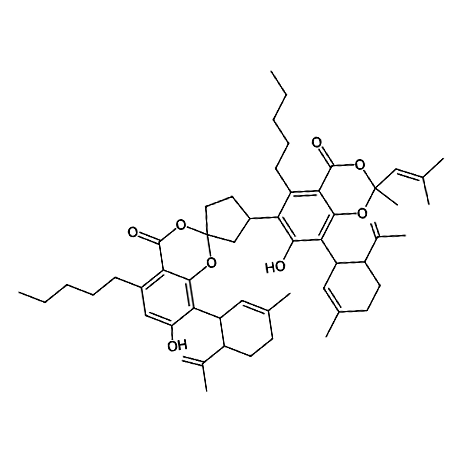 C=C(C)C1CCC(C)=CC1c1c(O)cc(CCCCC)c2c1OC1(CCC(c3c(O)c(C4C=C(C)CCC4C(=C)C)c4c(c3CCCCC)C(=O)OC(C)(C=C(C)C)O4)C1)OC2=O